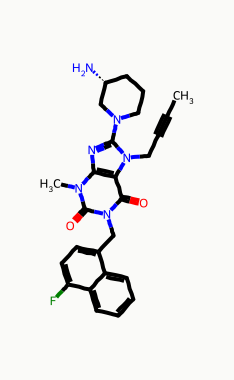 CC#CCn1c(N2CCC[C@@H](N)C2)nc2c1c(=O)n(Cc1ccc(F)c3ccccc13)c(=O)n2C